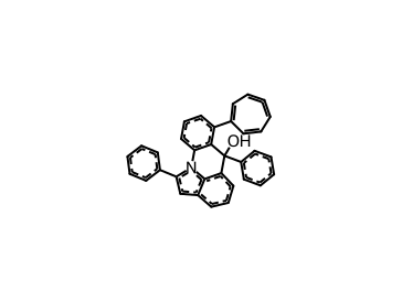 OC1(c2ccccc2)c2c(C3=CC=C=CC=C3)cccc2-n2c(-c3ccccc3)cc3cccc1c32